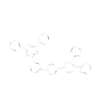 c1ccc(-c2nc(-c3ccccc3)nc(-c3cccc4c3sc3cc(-c5cc(-c6ccccc6)c6c(c5)oc5ccccc56)ccc34)n2)cc1